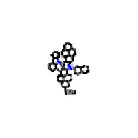 CC(C)(C)c1cc2ccc3c4c5c(c6ccc(c1)c2c36)N(c1ccc2ccccc2c1)c1cc2ccc3cccc6ccc(c1B5n1c5ccccc5c5cccc-4c51)c2c36